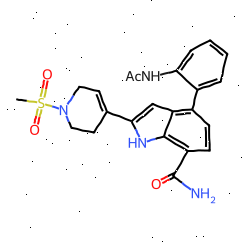 CC(=O)Nc1ccccc1-c1ccc(C(N)=O)c2[nH]c(C3=CCN(S(C)(=O)=O)CC3)cc12